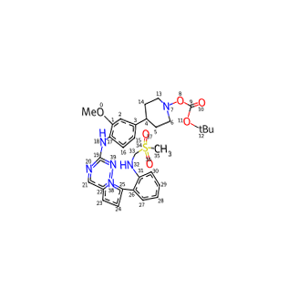 COc1cc(C2CCN(OC(=O)OC(C)(C)C)CC2)ccc1Nc1ncc2ccc(-c3ccccc3NCS(C)(=O)=O)n2n1